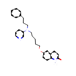 Cn1c(=O)ccc2cc(OCCCCCN(CCCc3ccccc3)c3cccnc3)ccc21